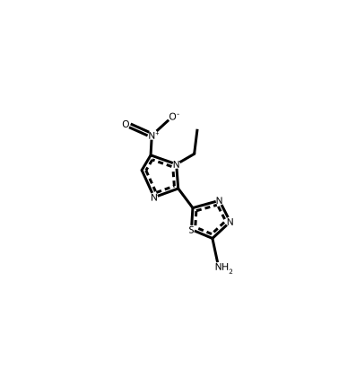 CCn1c([N+](=O)[O-])cnc1-c1nnc(N)s1